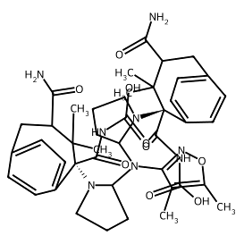 Cc1onc(N(C2CCCN2[C@]2(C(=O)NC(=O)O)c3ccc(cc3)CC(C(N)=O)C2(C)C)C2CCCN2[C@]2(C(=O)NC(=O)O)c3ccc(cc3)CC(C(N)=O)C2(C)C)c1C